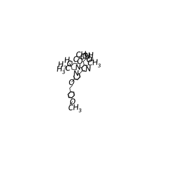 CCOc1ccc(CCOc2ccc(-c3cnc(C)c(C(OC(C)(C)C)C(=O)O)c3N3CCC(C)(C)CC3)nc2)cc1